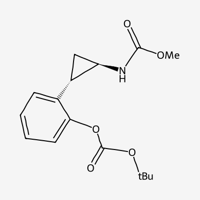 COC(=O)N[C@@H]1C[C@H]1c1ccccc1OC(=O)OC(C)(C)C